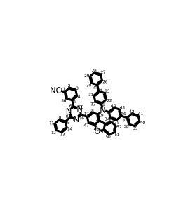 N#Cc1cccc(-c2nc(-c3ccccc3)nc(-c3cc(N(c4ccc(-c5ccccc5)cc4)c4ccc(-c5ccccc5)cc4)c4c(c3)oc3ccccc34)n2)c1